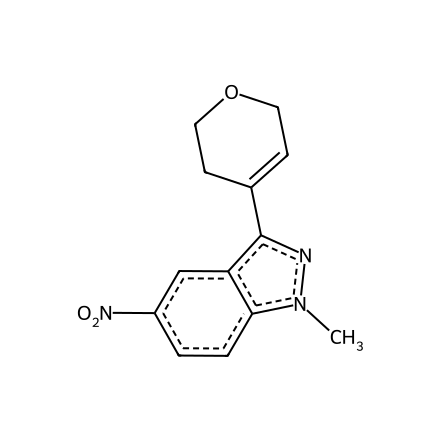 Cn1nc(C2=CCOCC2)c2cc([N+](=O)[O-])ccc21